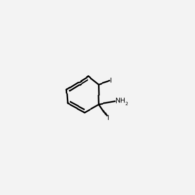 NC1(I)C=CC=CC1I